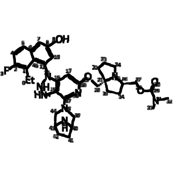 CCc1c(F)ccc2cc(O)cc(N3NNc4c3cc(OC[C@]35CCCN3[C@@H](COC(=O)N(C)C)CC5)nc4N3CC4CCC(C3)N4)c12